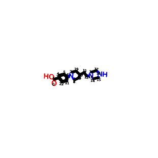 O=C(O)c1ccc(N2CCC(CCN3CCNCC3)CC2)cc1